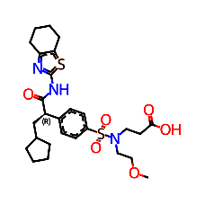 COCCN(CCC(=O)O)S(=O)(=O)c1ccc([C@@H](CC2CCCC2)C(=O)Nc2nc3c(s2)CCCC3)cc1